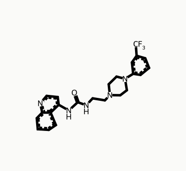 O=C(NCCN1CCN(c2cccc(C(F)(F)F)c2)CC1)Nc1ccnc2ccccc12